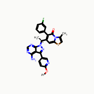 Cc1csc2cc([C@H](C)n3nc(-c4ccc(OC(C)C)nc4)c4c(N)ncnc43)c(-c3cccc(F)c3)c(=O)n12